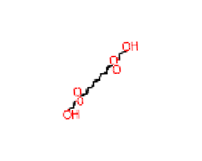 O=C(CCCCCCCCC(=O)OCCCO)OCCCO